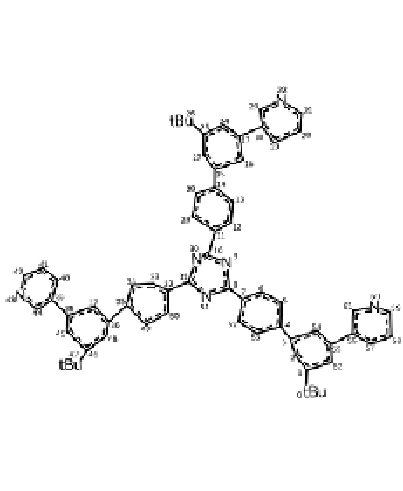 CC(C)(C)c1cc(-c2ccc(-c3nc(-c4ccc(-c5cc(-c6cccnc6)cc(C(C)(C)C)c5)cc4)nc(-c4ccc(-c5cc(-c6cccnc6)cc(C(C)(C)C)c5)cc4)n3)cc2)cc(-c2cccnc2)c1